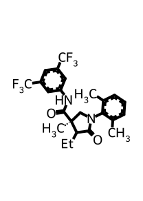 CCC1C(=O)N(c2c(C)cccc2C)C[C@]1(C)C(=O)Nc1cc(C(F)(F)F)cc(C(F)(F)F)c1